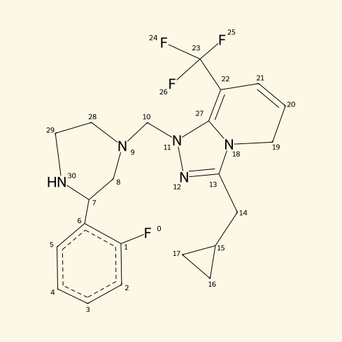 Fc1ccccc1C1CN(CN2N=C(CC3CC3)N3CC=CC(C(F)(F)F)=C23)CCN1